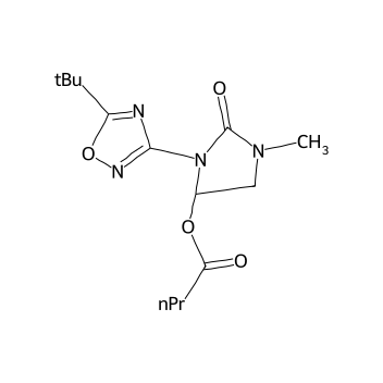 CCCC(=O)OC1CN(C)C(=O)N1c1noc(C(C)(C)C)n1